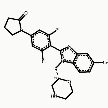 Cc1ccc2c(c1)nc(-c1c(F)cc(N3CCCC3=O)cc1Cl)n2C[C@H]1CNCCO1